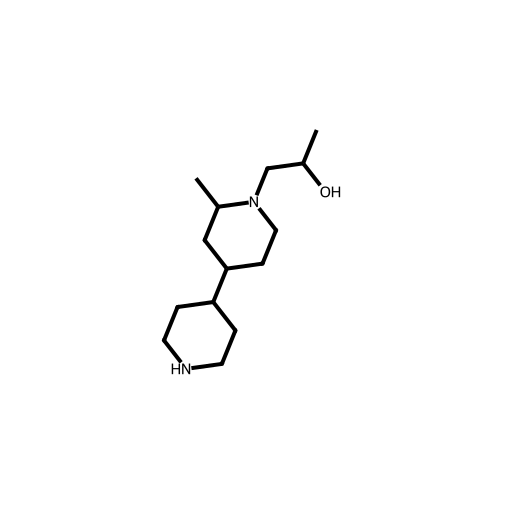 CC(O)CN1CCC(C2CCNCC2)CC1C